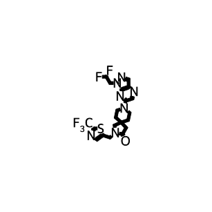 O=C1CC2(CCN(c3cnc4cnn(CC(F)F)c4n3)CC2)CN1Cc1cnc(C(F)(F)F)s1